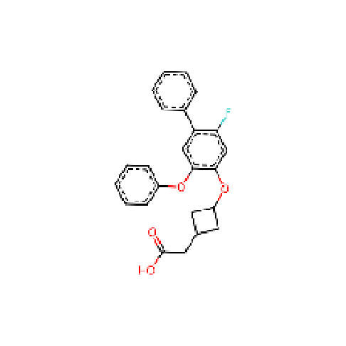 O=C(O)CC1CC(Oc2cc(F)c(-c3ccccc3)cc2Oc2ccccc2)C1